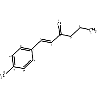 CCCC(=O)/C=C/c1ccc(C)cc1